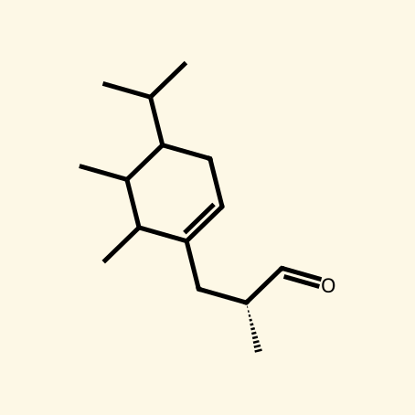 CC(C)C1CC=C(C[C@@H](C)C=O)C(C)C1C